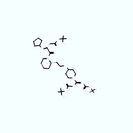 CC(C)(C)OC(=O)C[C@H](NC1CCCC1)C(=O)N1CCCC[C@@H]1CCOC1CCN(C(=NC(=O)OC(C)(C)C)NC(=O)OC(C)(C)C)CC1